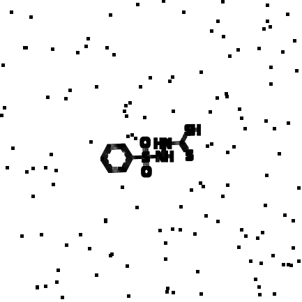 O=S(=O)(NNC(=S)S)c1ccccc1